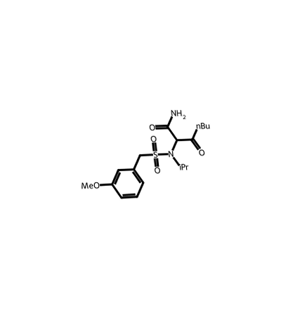 CCCCC(=O)C(C(N)=O)N(C(C)C)S(=O)(=O)Cc1cccc(OC)c1